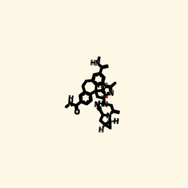 C=C(NC)c1ccc2c(c1)CCc1cc(C(=O)NC)ccc1C2(C[C@@H](C)NCC(=C)N1C(C#N)C[C@@H]2C[C@@H]21)c1nnc(C)[nH]1